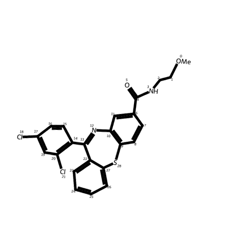 COCCNC(=O)c1ccc2c(c1)N=C(c1ccc(Cl)cc1Cl)c1ccccc1S2